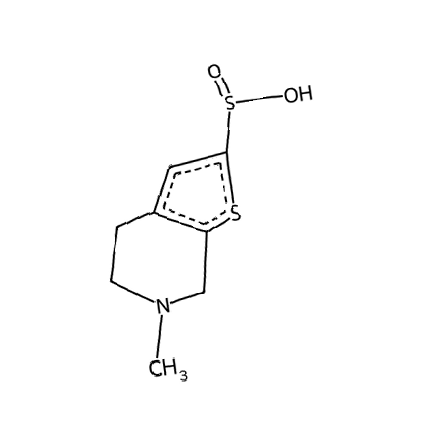 CN1CCc2cc(S(=O)O)sc2C1